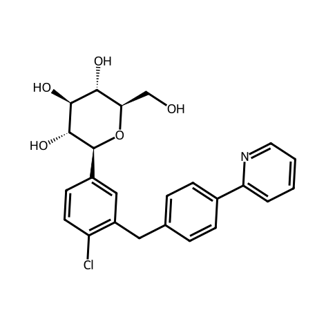 OC[C@H]1O[C@@H](c2ccc(Cl)c(Cc3ccc(-c4ccccn4)cc3)c2)[C@H](O)[C@@H](O)[C@@H]1O